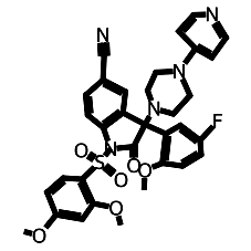 COc1ccc(S(=O)(=O)N2C(=O)C(c3cc(F)ccc3OC)(N3CCN(c4ccncc4)CC3)c3cc(C#N)ccc32)c(OC)c1